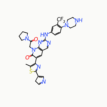 Cc1sc(C2=CN=CC2)nc1-c1cc2cnc(Nc3ccc(N4CCNCC4)c(C(F)(F)F)c3)nc2n(CC(=O)N2CCCC2)c1=O